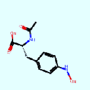 CC(=O)N[C@H](Cc1ccc(NO)cc1)C(=O)O